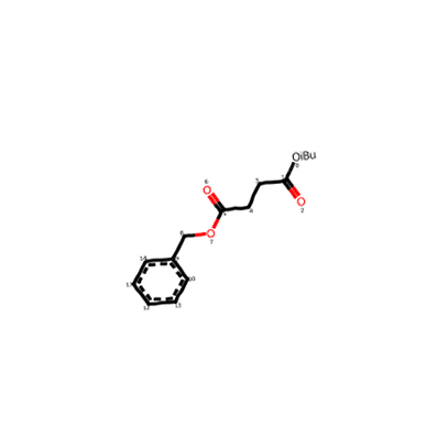 CC(C)COC(=O)CCC(=O)OCc1ccccc1